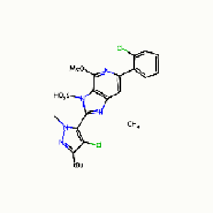 C.COc1nc(-c2ccccc2Cl)cc2nc(-c3c(Cl)c(C(C)(C)C)nn3C)n(S(=O)(=O)O)c12